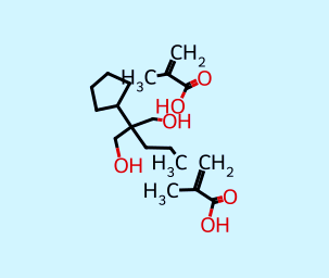 C=C(C)C(=O)O.C=C(C)C(=O)O.CCCC(CO)(CO)C1CCCC1